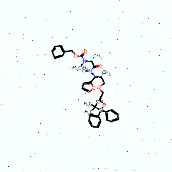 C[C@H](COCCO[Si](c1ccccc1)(c1ccccc1)C(C)(C)C)[C@@H](c1ccco1)N(C)C(=O)[C@@H](C)N(C)C(=O)OCc1ccccc1